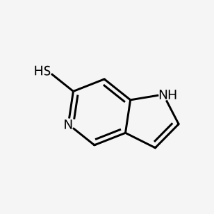 Sc1cc2[nH]ccc2cn1